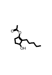 CCCCCC1=C(OC(C)=O)CCC1O